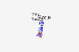 COc1ccc(-c2ncc(CNCC3CCN(c4nccc(/C=C5/SC(=O)NC5=O)n4)CC3)cc2C(=O)O)c(OC)c1